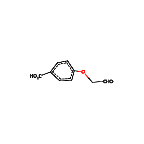 O=[C]COc1ccc(C(=O)O)cc1